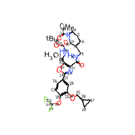 COC(=O)N1CCCC(CNC(=O)c2nc(-c3ccc(OC(F)F)c(OCC4CC4)c3)oc2[C@H](C)NC(=O)OC(C)(C)C)C1